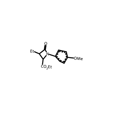 CCOC(=O)C1C(CC)C(=O)N1c1ccc(OC)cc1